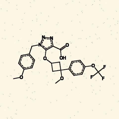 COc1ccc(Cn2nnc(C(=O)O)c2OC2CC(OC)(c3ccc(OC(F)(F)F)cc3)C2)cc1